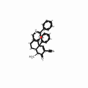 C[C@@H]1C(=O)C(C#N)=CC2(c3ccccc3)c3nc(-c4ccccc4)ncc3CCC12